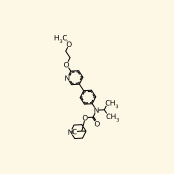 COCCOc1ccc(-c2ccc(N(C(=O)OC3CN4CCC3CC4)C(C)C)cc2)cn1